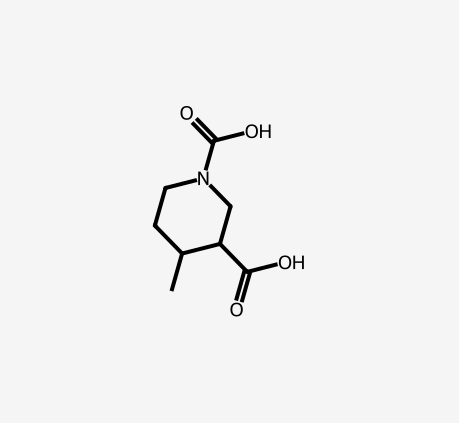 CC1CCN(C(=O)O)CC1C(=O)O